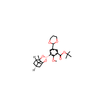 COc1c(B2OC3C[C@H]4C[C@@H](C4(C)C)[C@]3(C)O2)cc(C2OCCCO2)cc1C(=O)OC(C)(C)C